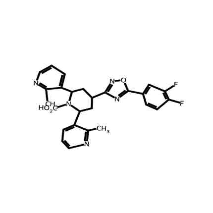 Cc1ncccc1C1CC(c2noc(-c3ccc(F)c(F)c3)n2)CC(c2cccnc2C)N1C(=O)O